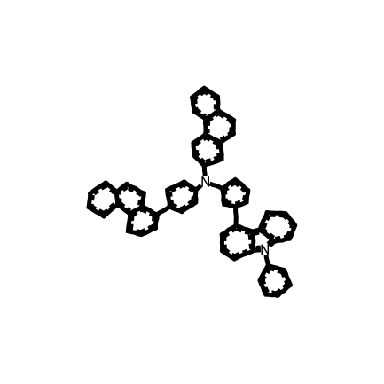 c1ccc(-n2c3ccccc3c3c(-c4cccc(N(c5ccc(-c6cccc7c6ccc6ccccc67)cc5)c5ccc6c(ccc7ccccc76)c5)c4)cccc32)cc1